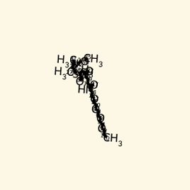 CCCOCCOCCOCCOCCNC(=O)CCN1C(=O)CC(SC(C)(C)CN(C)CCOC)C1=O